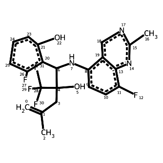 C=C(C)CC(O)(C(Nc1ccc(F)c2nc(C)ncc12)c1c(O)cccc1F)C(F)(F)F